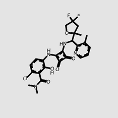 Cc1cccnc1C(Nc1c(Nc2ccc(Cl)c(C(=O)N(C)C)c2O)c(=O)c1=O)C1(C)CC(F)(F)CO1